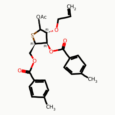 C=CCO[C@H]1C(OC(C)=O)S[C@H](COC(=O)c2ccc(C)cc2)[C@@H]1OC(=O)c1ccc(C)cc1